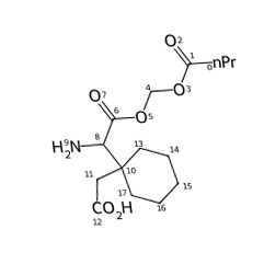 CCCC(=O)OCOC(=O)C(N)C1(CC(=O)O)CCCCC1